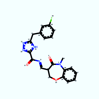 CN1C(=O)C(/C=N/C(=O)c2nnc(Cc3cccc(F)c3)[nH]2)COc2ccccc21